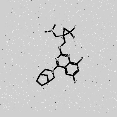 CN(C)C[C@@]1(COc2nc(N3CC4CCC(C4)C3)c3cc(F)cc(F)c3n2)CC1(F)F